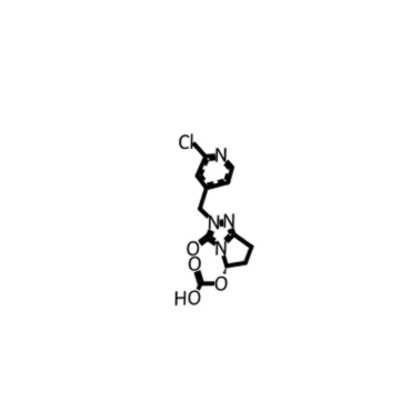 O=C(O)O[C@H]1CCc2nn(Cc3ccnc(Cl)c3)c(=O)n21